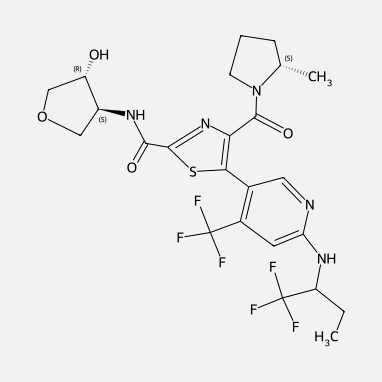 CCC(Nc1cc(C(F)(F)F)c(-c2sc(C(=O)N[C@H]3COC[C@@H]3O)nc2C(=O)N2CCC[C@@H]2C)cn1)C(F)(F)F